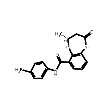 Bc1ccc(NC(=O)c2cccc3c2N[C@H](C)CC(=O)N3)cc1